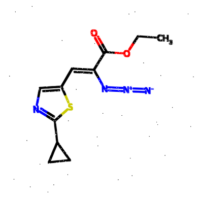 CCOC(=O)C(=Cc1cnc(C2CC2)s1)N=[N+]=[N-]